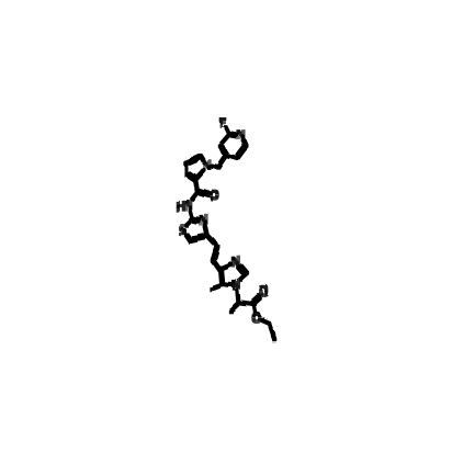 CCOC(=O)C(C)n1cnc(/C=C/c2csc(NC(=O)c3cccn3Cc3ccnc(F)c3)n2)c1C